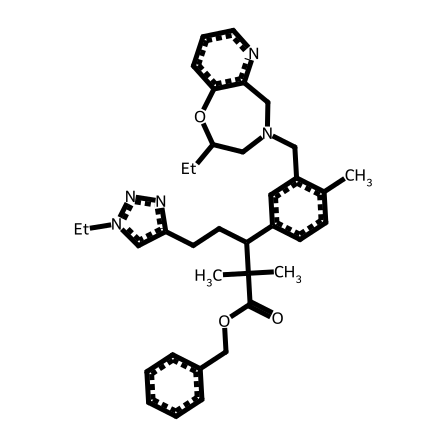 CCC1CN(Cc2cc(C(CCc3cn(CC)nn3)C(C)(C)C(=O)OCc3ccccc3)ccc2C)Cc2ncccc2O1